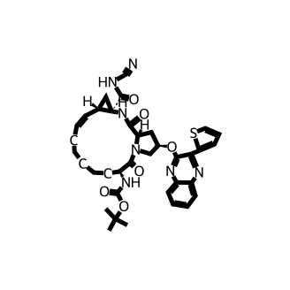 CC(C)(C)OC(=O)N[C@H]1CCCCC/C=C\[C@@H]2C[C@@]2(C(=O)NC#N)NC(=O)[C@@H]2C[C@@H](Oc3nc4ccccc4nc3-c3cccs3)CN2C1=O